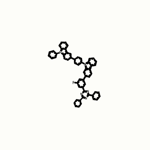 Fc1cc(-c2ccc3c4ccccc4n(-c4ccc(-c5ccc6c(c5)c5ccccc5n6-c5ccccc5)cc4)c3c2)cc(-c2nc(-c3ccccc3)nc(-c3ccccc3)n2)c1